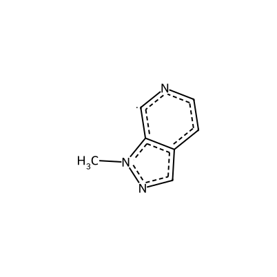 Cn1ncc2ccn[c]c21